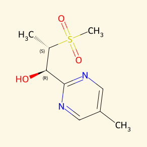 Cc1cnc([C@@H](O)[C@H](C)S(C)(=O)=O)nc1